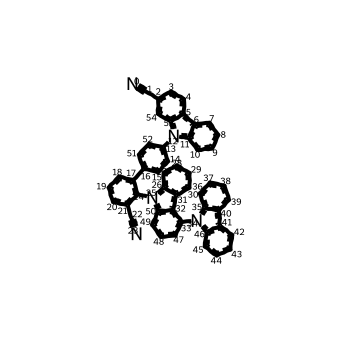 N#Cc1ccc2c3ccccc3n(-c3ccc(-c4cccc(C#N)c4-n4c5ccccc5c5c(-n6c7ccccc7c7ccccc76)cccc54)cc3)c2c1